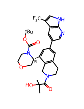 CC(C)(C)OC(=O)N1CCOC[C@H]1c1cc(-c2cnc3[nH]cc(C(F)(F)F)c3c2)cc2c1CN(C(=O)C(C)(C)O)CC2